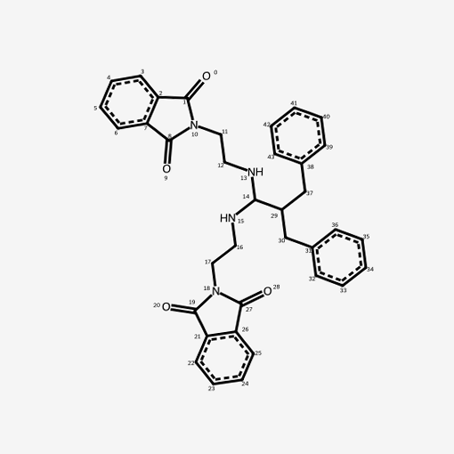 O=C1c2ccccc2C(=O)N1CCNC(NCCN1C(=O)c2ccccc2C1=O)C(Cc1ccccc1)Cc1ccccc1